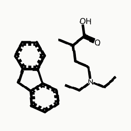 CCN(CC)CCC(C)C(=O)O.c1ccc2c(c1)Cc1ccccc1-2